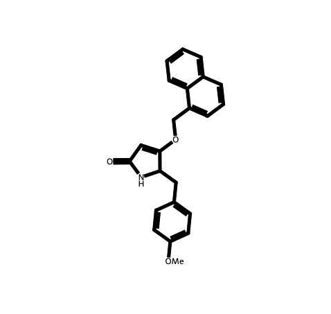 COc1ccc(CC2NC(=O)C=C2OCc2cccc3ccccc23)cc1